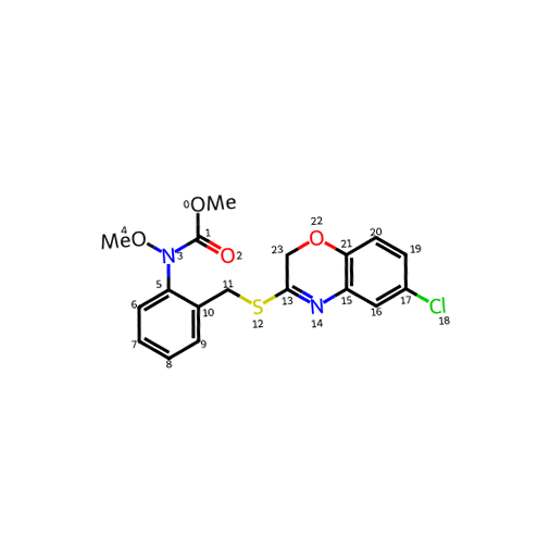 COC(=O)N(OC)c1ccccc1CSC1=Nc2cc(Cl)ccc2OC1